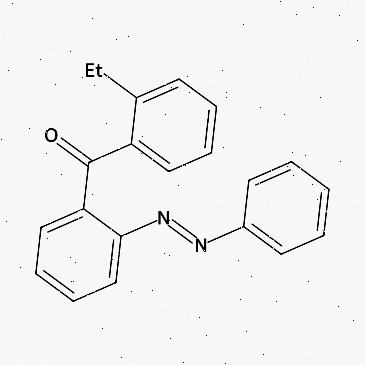 CCc1ccccc1C(=O)c1ccccc1N=Nc1ccccc1